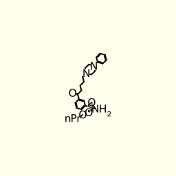 CCCOc1ccc(C(=O)CCCCN2CCN(c3ccccc3)CC2)cc1S(N)(=O)=O